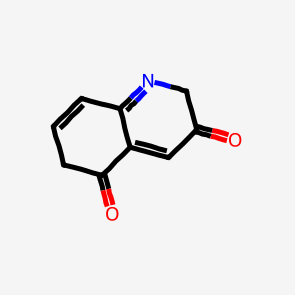 O=C1C=C2C(=O)CC=CC2=NC1